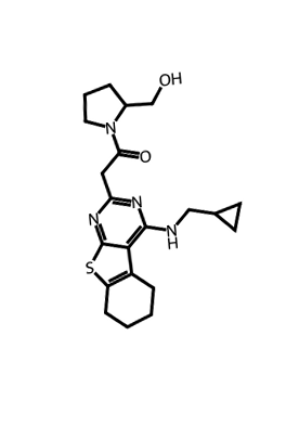 O=C(Cc1nc(NCC2CC2)c2c3c(sc2n1)CCCC3)N1CCCC1CO